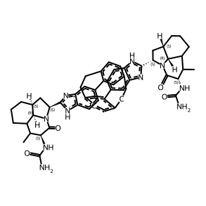 CC1C2CCC[C@H]3C[C@@H](c4nc5cc(-c6cc7ccc6CCc6ccc(c(-c8ccc9[nH]c([C@@H]%10C[C@@H]%11CCCC%12C(C)[C@H](NC(N)=O)C(=O)N%10[C@@H]%12%11)nc9c8)c6)CC7)ccc5[nH]4)N(C(=O)[C@H]1NC(N)=O)[C@@H]23